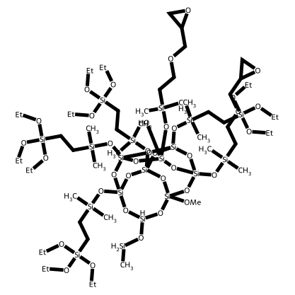 CCO[Si](CC[Si](C)(C)O[Si]12O[SiH](O[SiH2]C)O[Si]3(OC)O[Si]4(O[Si](C)(C)CCOCC5CO5)O[Si](O)(O[Si](C)(C)CCOCC5CO5)O[Si](O[Si](C)(C)CC[Si](OCC)(OCC)OCC)(O1)O[Si](O[Si](C)(C)CC[Si](OCC)(OCC)OCC)(O4)O[Si](O[Si](C)(C)CC[Si](OCC)(OCC)OCC)(O3)O2)(OCC)OCC